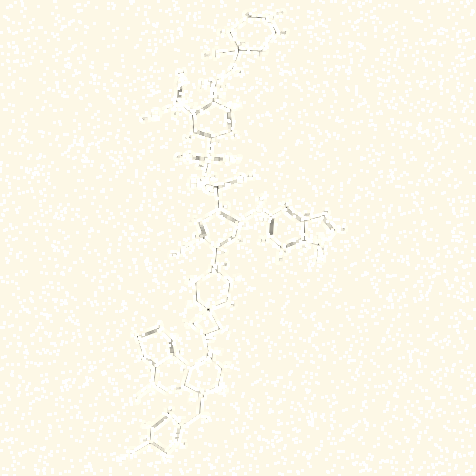 CC(C)c1ccccc1C1CN(Cc2ccc(F)cc2)CCN1C1CC2(CCN(c3cc(Oc4cnc5[nH]ccc5c4)c(C(=O)NS(=O)(=O)c4ccc(NCC5(F)CCOCC5)c([N+](=O)[O-])c4)cc3F)CC2)C1